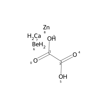 O=C(O)C(=O)O.[BeH2].[CaH2].[Zn]